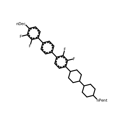 CCCCCCCCCCc1ccc(-c2ccc(-c3ccc(C4CCC(C5CCC(CCCCC)CC5)CC4)c(F)c3F)cc2)c(F)c1F